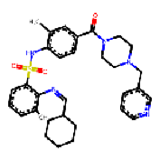 Cc1cc(C(=O)N2CCN(Cc3cccnc3)CC2)ccc1NS(=O)(=O)c1cccc(C)c1/N=C\C1CCCCC1